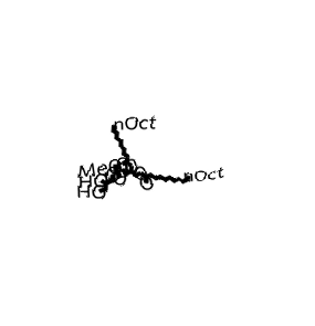 CCCCCCCC/C=C\CCCCCCCC(=O)OCC(COP(=O)(OC)OCC(O)CO)OC(=O)CCCCCCC/C=C\CCCCCCCC